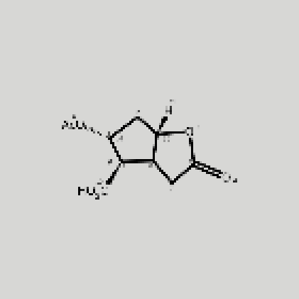 CC(=O)O[C@@H]1C[C@@H]2OC(=O)CC2[C@H]1C(=O)O